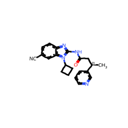 C[C@H](CC(=O)Nc1nc2ccc(C#N)cc2n1C1CCC1)c1cccnc1